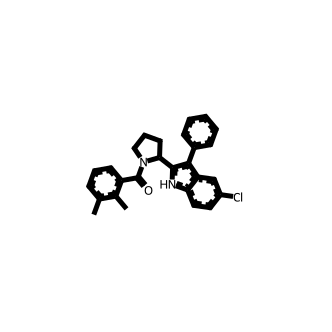 Cc1cccc(C(=O)N2CCCC2c2[nH]c3ccc(Cl)cc3c2-c2ccccc2)c1C